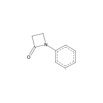 O=C1CCN1c1c[c]ccc1